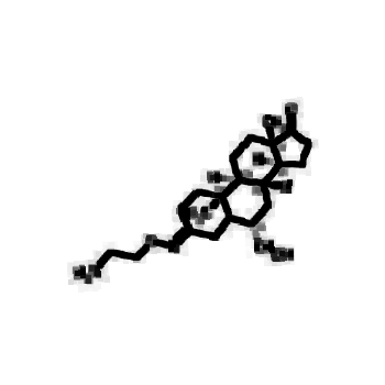 C[C@H]1C[C@@H]2[C@H](CC[C@]3(C)C(=O)CC[C@@H]23)[C@@]2(C)CCC(=NOCCN)CC12.Cl